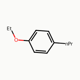 [CH2]CCc1ccc(OCC)cc1